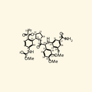 COC(=O)Nc1ccc(S(=O)(=O)C(C)C)c([C@H]2CCCN2C(=O)[C@@H](Nc2cc(F)cc(C(N)=O)c2)c2ccc(OC)c(OC)c2)c1